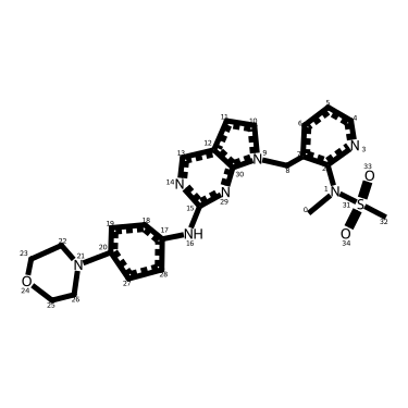 CN(c1ncccc1Cn1ccc2cnc(Nc3ccc(N4CCOCC4)cc3)nc21)S(C)(=O)=O